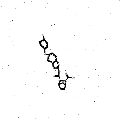 O=C(Nc1nc2ccc(Oc3ccc(F)cc3)cc2s1)[C@@H]1C2C=CC(C2)[C@@H]1C(=O)O